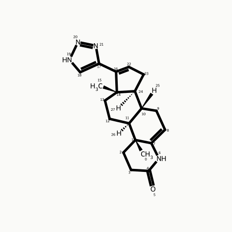 C[C@]12CCC(=O)NC1=CC[C@@H]1[C@@H]2CC[C@]2(C)C(c3c[nH]nn3)=CC[C@@H]12